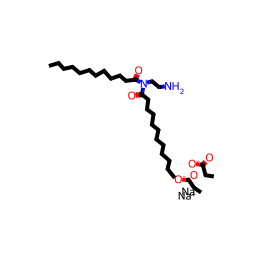 CCC(=O)[O-].CCC(=O)[O-].CCCCCCCCCCCC(=O)N(CCN)C(=O)CCCCCCCCCCC.[Na+].[Na+]